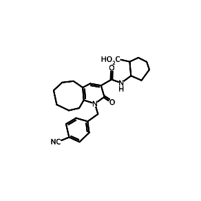 N#Cc1ccc(Cn2c3c(cc(C(=O)NC4CCCCC4C(=O)O)c2=O)CCCCCC3)cc1